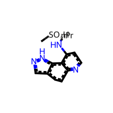 CCCNc1ccnc2ccc3cn[nH]c3c12.CS(=O)(=O)O